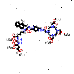 [3H]c1c(C[C@H](NC(=O)C2CCC(CNC(=O)CN3CCN(CC(=O)OC(C)(C)C)CCN(CC(=O)OC(C)(C)C)CCN(CC(=O)OC(C)(C)C)CC3)CC2)C(=O)NCCCC[C@H](NC(=O)N[C@@H](CCC(=O)OC(C)(C)C)C(=O)OC(C)(C)C)C(=O)OC(C)(C)C)ccc2ccccc12